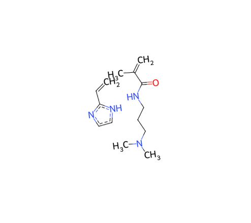 C=C(C)C(=O)NCCCN(C)C.C=Cc1ncc[nH]1